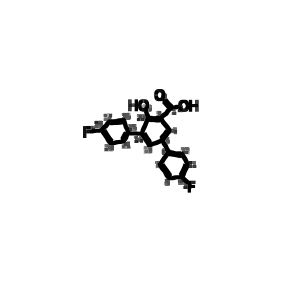 O=C(O)c1cc(-c2ccc(F)cc2)cc(-c2ccc(F)cc2)c1O